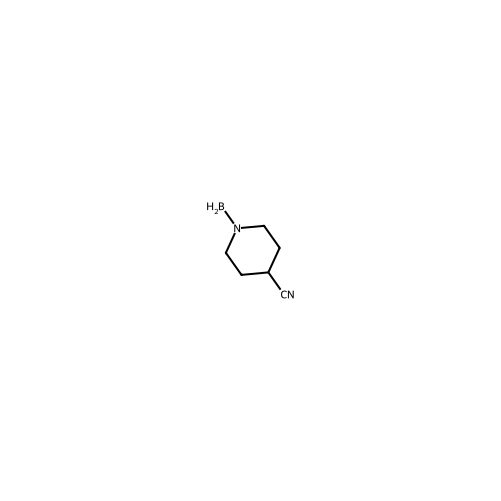 BN1CCC(C#N)CC1